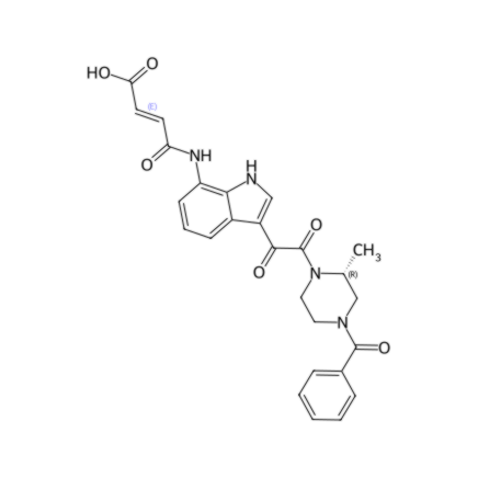 C[C@@H]1CN(C(=O)c2ccccc2)CCN1C(=O)C(=O)c1c[nH]c2c(NC(=O)/C=C/C(=O)O)cccc12